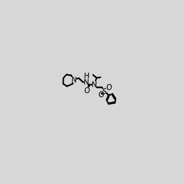 CC(C)N(CCS(=O)(=O)c1ccccc1)C(=O)NCCN1CCCCCC1